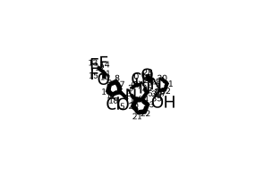 C[C@@H]1CN(C(=O)c2ccc(OCC(F)(F)F)cc2Cl)c2ccccc2CN1C(=O)N1CCC[C@H]1CO